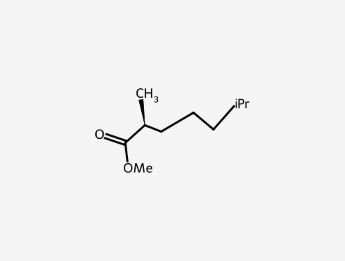 COC(=O)[C@@H](C)CCCC(C)C